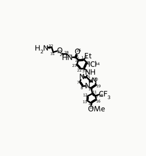 CCc1cc(Nc2nccn3c(-c4ccc(OC)cc4C(F)(F)F)cnc23)ccc1C(=O)NCCOCCN.Cl